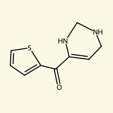 O=C(C1=CCNCN1)c1cccs1